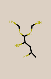 CC(S)CC(S)C(SCS)SCS